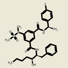 CCCC[C@H](O)[C@H](Cc1ccccc1)NC(=O)c1cc(C(=O)N[C@H](C)c2ccc(F)cc2)cc(N(C)S(C)(=O)=O)c1